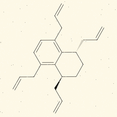 C=CCc1ccc(CC=C)c2c1[C@H](CC=C)CC[C@H]2CC=C